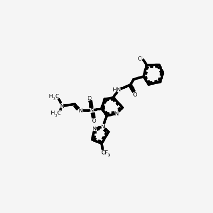 CN(C)C=NS(=O)(=O)c1cc(NC(=O)Cc2ccccc2Cl)cnc1-n1cc(C(F)(F)F)cn1